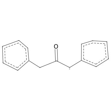 O=C([CH]c1ccccc1)Cc1ccccc1